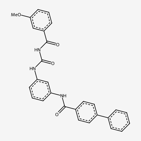 COc1cccc(C(=O)NC(=O)Nc2cccc(NC(=O)c3ccc(-c4ccccc4)cc3)c2)c1